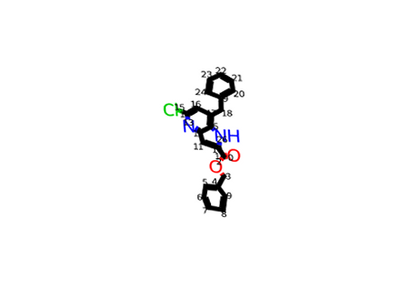 O=C(OCc1ccccc1)c1cc2nc(Cl)cc(Cc3ccccc3)c2[nH]1